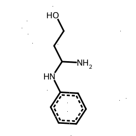 NC(CCO)Nc1ccccc1